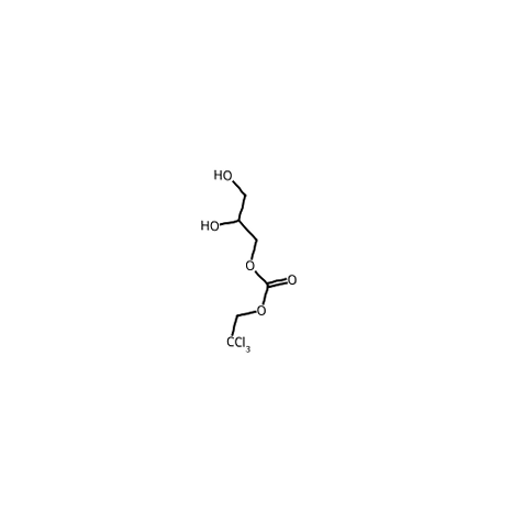 O=C(OCC(O)CO)OCC(Cl)(Cl)Cl